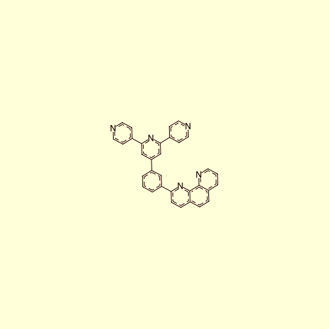 c1cc(-c2cc(-c3ccncc3)nc(-c3ccncc3)c2)cc(-c2ccc3ccc4cccnc4c3n2)c1